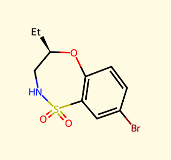 CC[C@@H]1CNS(=O)(=O)c2cc(Br)ccc2O1